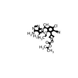 CCOc1c(C(C)n2nc(C)c3c(N)ncnc32)cc(Cl)c(C#N)c1C1CN(OC(=O)OC(C)C)C1